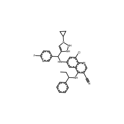 CCC(Nc1c(C#N)cnc2c(Cl)cc(NC(C3=CN(C4CC4)NN3)c3ccc(F)nc3)cc12)c1ccccc1